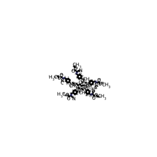 [C-]#[N+]/C(=C\c1ccc(N(C)COCC(OCN(C)c2ccc(/C=C(\C#N)C(=O)OCC)cc2)C(OCN(C)c2ccc(/C=C(\C#N)C(=O)OCC)cc2)C(COCN(C)c2ccc(/C=C(\[N+]#[C-])C(=O)OCC)cc2)OCN(C)c2ccc(/C=C(\C#N)C(=O)OCC)cc2)cc1)C(=O)OCC